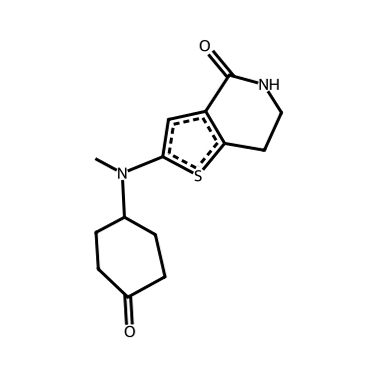 CN(c1cc2c(s1)CCNC2=O)C1CCC(=O)CC1